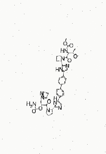 COC(=O)N[C@H](C(=O)N1CCCC1c1ncc(-c2ccc(-c3ccc(-c4cnc([C@@H]5CCCN5C(=O)[C@H](Cn5cccn5)OC(N)=O)[nH]4)cc3)cc2)[nH]1)[C@@H](C)OC